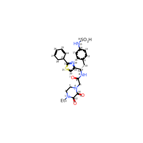 CCN1CCN(CC(=O)N[C@@H](Cc2ccc(NS(=O)(=O)O)cc2)c2csc(C3C=CC=CC3)n2)C(=O)C1=O